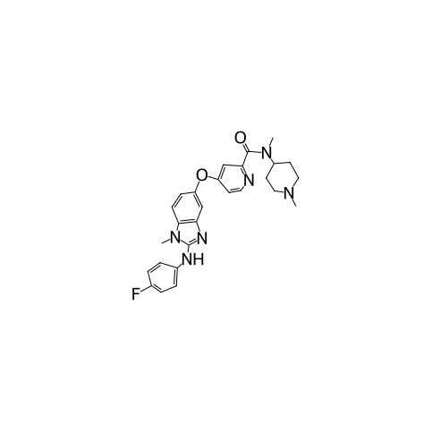 CN1CCC(N(C)C(=O)c2cc(Oc3ccc4c(c3)nc(Nc3ccc(F)cc3)n4C)ccn2)CC1